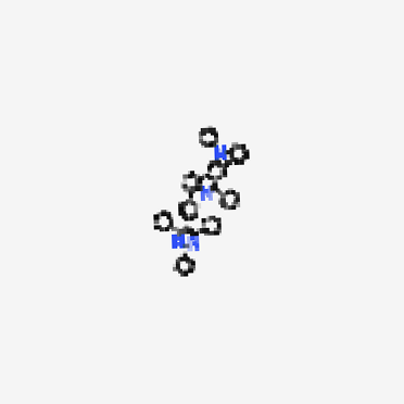 c1ccc(-c2nc(-c3ccccc3)c(-c3ccc(-c4cccc5c4nc(-c4ccccc4)c4cc6c7ccccc7n(-c7ccccc7)c6cc45)cc3)c(-c3ccccc3)n2)cc1